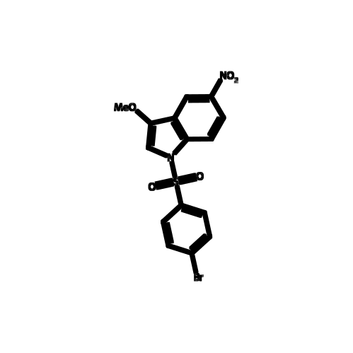 COc1cn(S(=O)(=O)c2ccc(Br)cc2)c2ccc([N+](=O)[O-])cc12